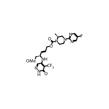 COC[C@@H](/C=C/COC(=O)N1CCN(c2ncc(F)cn2)C[C@@H]1C)Nc1cn[nH]c(=O)c1C(F)(F)F